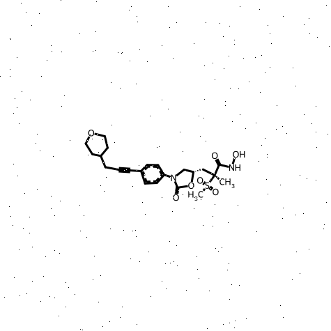 C[C@@](C[C@H]1CN(c2ccc(C#CCC3CCOCC3)cc2)C(=O)O1)(C(=O)NO)S(C)(=O)=O